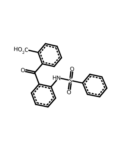 O=C(O)c1ccccc1C(=O)c1ccccc1NS(=O)(=O)c1ccccc1